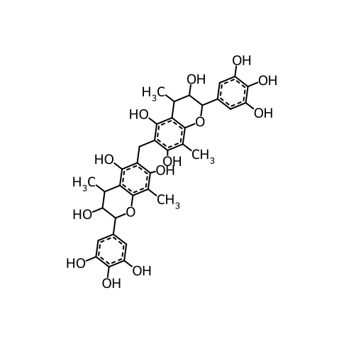 Cc1c(O)c(Cc2c(O)c(C)c3c(c2O)C(C)C(O)C(c2cc(O)c(O)c(O)c2)O3)c(O)c2c1OC(c1cc(O)c(O)c(O)c1)C(O)C2C